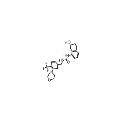 O=C(NCc1ccc(C(F)(F)F)c(N2CCOCC2)c1)Nc1cccc2c1C[C@H](O)CC2